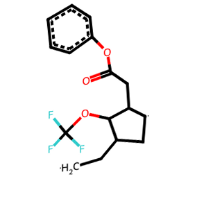 [CH2]CC1C[CH]C(CC(=O)Oc2ccccc2)C1OC(F)(F)F